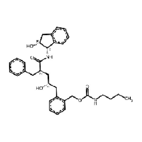 CCCCNC(=O)OCc1ccccc1C[C@H](O)C[C@@H](Cc1ccccc1)C(=O)N[C@H]1c2ccccc2C[C@H]1O